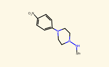 CCCNN1CCN(c2ccc([N+](=O)[O-])cc2)CC1